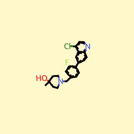 CC1(O)CCN(Cc2ccc(-c3ccc4nccc(Cl)c4c3)c(F)c2)CC1